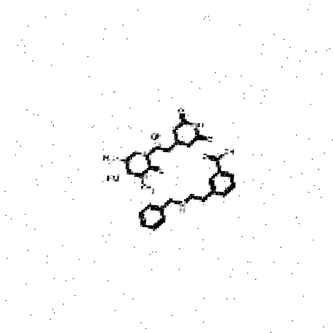 C[C@@H]1C[C@@H]([C@H](O)CC2CC(=O)NC(=O)C2)C(=O)[C@@H](C)C1.Cl.O=C(O)c1cccc(CCNCc2ccccc2)c1